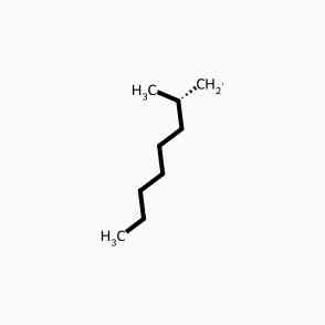 [CH2][C@@H](C)CCCCCC